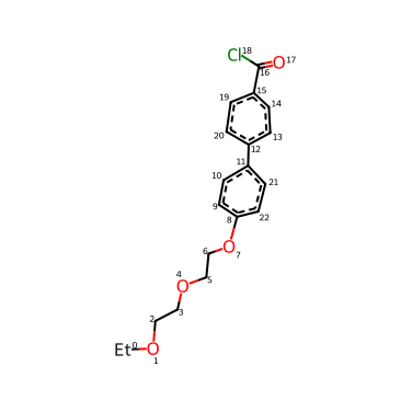 CCOCCOCCOc1ccc(-c2ccc(C(=O)Cl)cc2)cc1